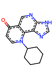 O=c1ccn(C2CCCCC2)c2c1cnc1[nH]cnc12